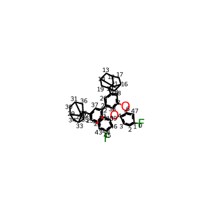 Fc1cccc(Oc2cc(C34CC5CC(CC(C5)C3)C4)cc(-c3cccc(C45CC6CC(CC(C6)C4)C5)c3)c2Oc2cccc(F)c2)c1